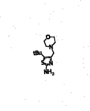 CC(C)(C)c1sc(N)nc1CN1CCOCC1